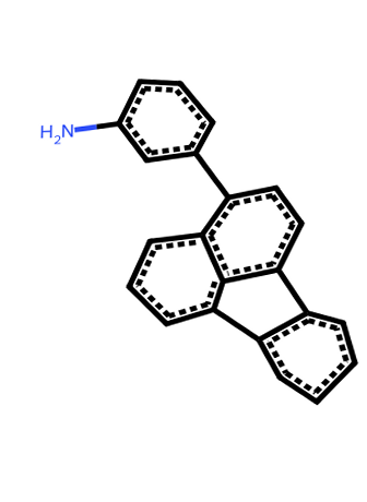 Nc1cccc(-c2ccc3c4c(cccc24)-c2ccccc2-3)c1